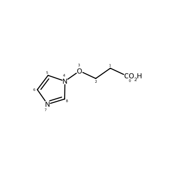 O=C(O)CCOn1ccnc1